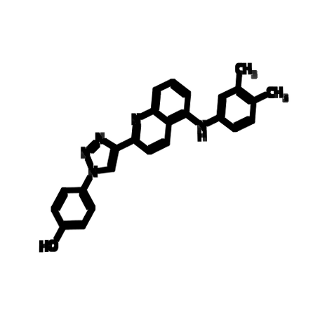 Cc1ccc(Nc2cccc3nc(-c4cn(-c5ccc(O)cc5)nn4)ccc23)cc1C